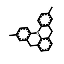 Cc1ccc2c(c1)Cc1cccc3c1B2c1ccc(C)cc1C3